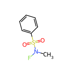 CN(F)S(=O)(=O)c1ccccc1